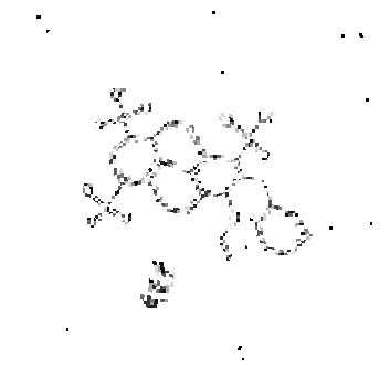 C=COc1c(Cc2ccccc2)c(S(=O)(=O)[O-])c2ccc3c(S(=O)(=O)[O-])cc(S(=O)(=O)[O-])c4ccc1c2c43.[Na+].[Na+].[Na+]